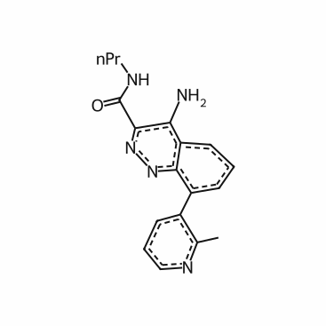 CCCNC(=O)c1nnc2c(-c3cccnc3C)cccc2c1N